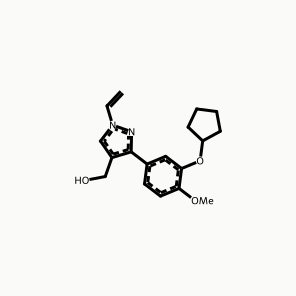 C=Cn1cc(CO)c(-c2ccc(OC)c(OC3CCCC3)c2)n1